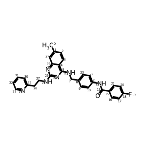 Cc1ccc2c(NCc3ccc(NC(=O)c4ccc(F)cc4)cc3)nc(NCCc3ccccn3)nc2c1